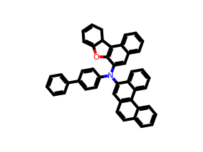 C1=CCC2C(=C1)Oc1c(N(c3ccc(-c4ccccc4)cc3)c3cc4ccc5ccccc5c4c4ccccc34)cc3ccccc3c12